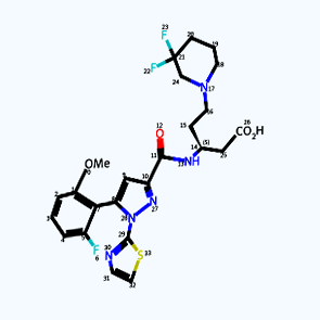 COc1cccc(F)c1-c1cc(C(=O)N[C@@H](CCN2CCCC(F)(F)C2)CC(=O)O)nn1-c1nccs1